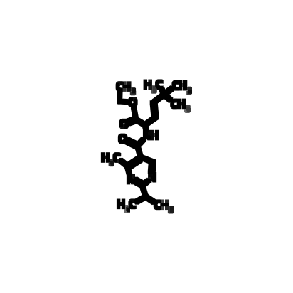 CCOC(=O)C(C=CC(C)(C)C)NC(=O)c1cnc(C(C)C)nc1C